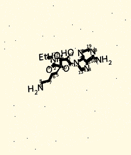 CCNC(=O)[C@@]1(CCCCN)O[C@@H](n2cnc3c(N)ncnc32)[C@H](O)[C@@H]1O